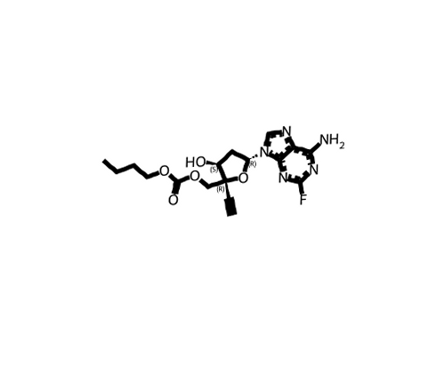 C#C[C@]1(COC(=O)OCCCC)O[C@@H](n2cnc3c(N)nc(F)nc32)C[C@@H]1O